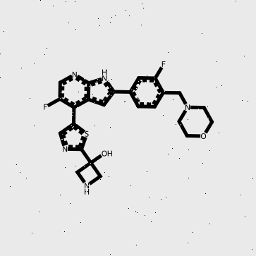 OC1(c2ncc(-c3c(F)cnc4[nH]c(-c5ccc(CN6CCOCC6)c(F)c5)cc34)s2)CNC1